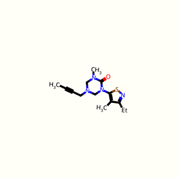 CC#CCN1CN(C)C(=O)N(c2snc(CC)c2C)C1